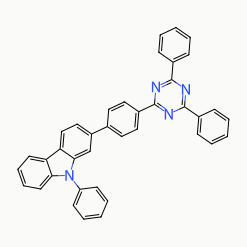 c1ccc(-c2nc(-c3ccccc3)nc(-c3ccc(-c4ccc5c6ccccc6n(-c6ccccc6)c5c4)cc3)n2)cc1